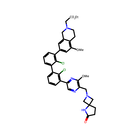 CCOC(=O)CN1CCc2c(cc(-c3cccc(-c4cccc(-c5cnc(CN6CC7(CCC(=O)N7)C6)c(OC)n5)c4Cl)c3Cl)cc2OC)C1